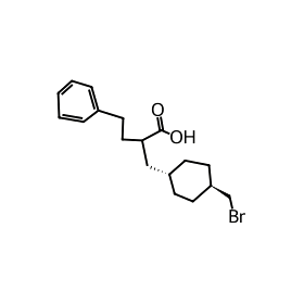 O=C(O)C(CCc1ccccc1)C[C@H]1CC[C@H](CBr)CC1